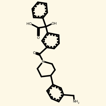 NCc1cccc(C2CCN(C(=O)c3cccc(C(O)(C(=O)O)c4ccccc4)c3)CC2)c1